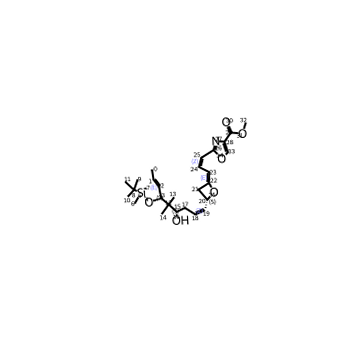 C/C=C/[C@H](O[Si](C)(C)C(C)(C)C)C(C)(C)[C@@H](O)C/C=C\[C@@H]1C/C(=C\C=C/c2nc(C(=O)OC)co2)O1